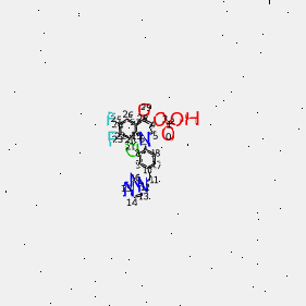 O=C(O)Oc1cn(-c2ccc(Cn3ccnn3)cc2)c2c(Cl)c(F)c(F)cc2c1=O